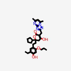 CCCOc1cc(O)c(CC)cc1CCC1(C2CCCC2)CC(O)=C(Cc2nc3nc(C)cc(C)n3n2)C(=O)O1